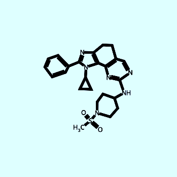 CS(=O)(=O)N1CCC(Nc2ncc3c(n2)-c2c(nc(-c4ccccc4)n2C2CC2)CC3)CC1